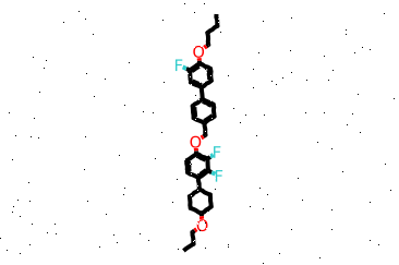 CCCCOc1ccc(-c2ccc(COc3ccc(C4CCC(OCCC)CC4)c(F)c3F)cc2)cc1F